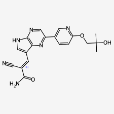 CC(C)(O)COc1ccc(-c2cnc3[nH]cc(/C=C(\C#N)C(N)=O)c3n2)cn1